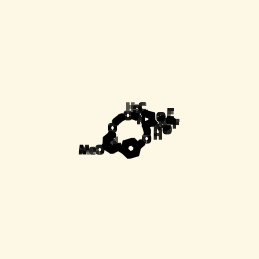 COc1cc2nc(c1)C1CCC(CC1)OCC1C(NS(=O)(=O)C(F)F)CC(C)N1C(=O)OCCO2